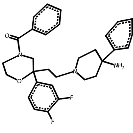 NC1(c2ccccc2)CCN(CCC2(c3ccc(F)c(F)c3)CN(C(=O)c3ccccc3)CCO2)CC1